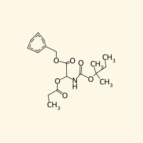 CCC(=O)OC(NC(=O)OC(C)(C)CC)C(=O)OCc1ccccc1